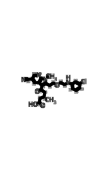 C[C@H](CC(=O)O)CC(=O)c1c(CCOCCNc2cccc(Cl)c2)n(C)c2ncc(C#N)cc12